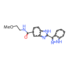 COCCNC(=O)c1ccc2[nH]c(-c3n[nH]c4ccccc34)nc2c1